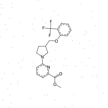 COC(=O)c1cccc(N2CCC(COc3ccccc3C(F)(F)F)C2)n1